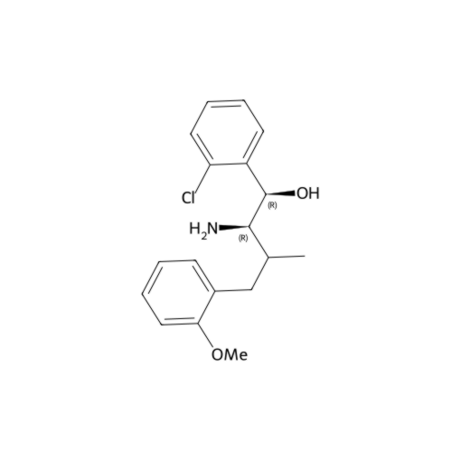 COc1ccccc1CC(C)[C@@H](N)[C@H](O)c1ccccc1Cl